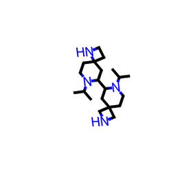 CC(C)N1CCC2(CNC2)CC1C1CC2(CCN2)CCN1C(C)C